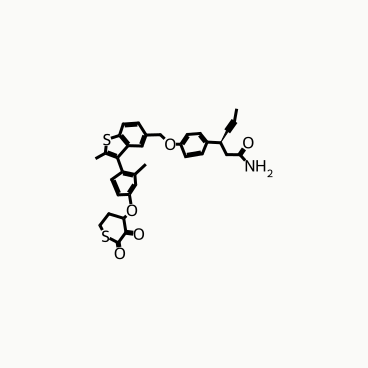 CC#C[C@@H](CC(N)=O)c1ccc(OCc2ccc3sc(C)c(-c4ccc(OC5CCSC(=O)C5=O)cc4C)c3c2)cc1